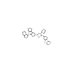 CC1(C)c2ccccc2-c2ccc(N3c4ccccc4C4C=C(c5ccc6c(c5)c5ccccc5n6-c5cccc6ccccc56)C=CC43)cc21